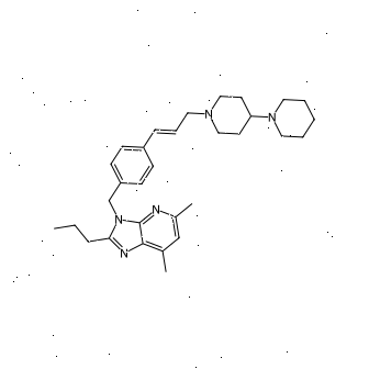 CCCc1nc2c(C)cc(C)nc2n1Cc1ccc(C=CCN2CCC(N3CCCCC3)CC2)cc1